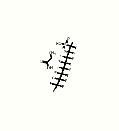 CCC(=O)O.O=S(=O)(O)C(F)(F)C(F)(F)C(F)(F)C(F)(F)C(F)(F)C(F)(F)C(F)(F)C(F)(F)F